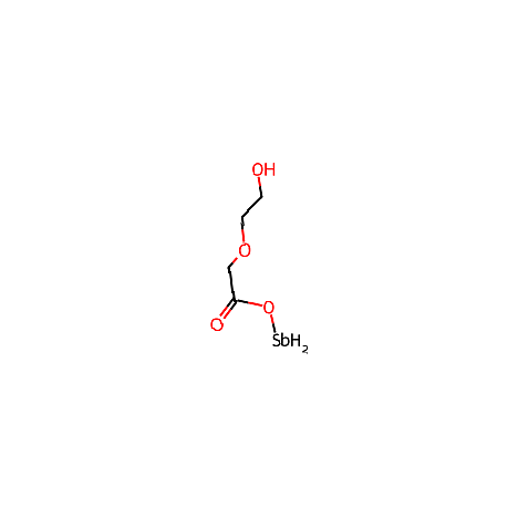 O=C(COCCO)[O][SbH2]